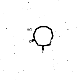 Cl.O=C1CCCCCCCCC(=O)C1